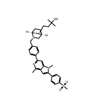 Cc1nc(-c2ccc(CN3C[C@@H]4CC[C@H]3CN4CCC(C)(C)O)cc2)cc2c1cc(-c1ccc(S(C)(=O)=O)cc1)n2C